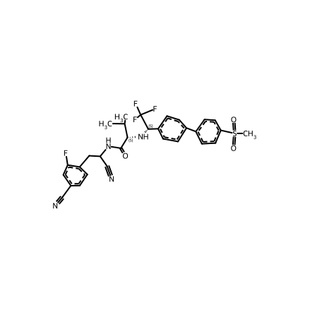 CC(C)[C@H](N[C@@H](c1ccc(-c2ccc(S(C)(=O)=O)cc2)cc1)C(F)(F)F)C(=O)NC(C#N)Cc1ccc(C#N)cc1F